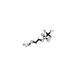 O=S(=O)(OCCO[SiH3])C(F)(F)F